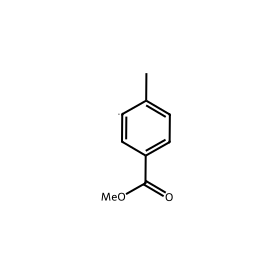 COC(=O)c1c[c]c(C)cc1